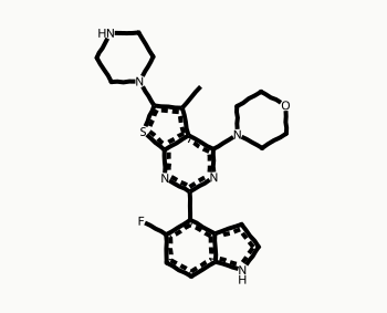 Cc1c(N2CCNCC2)sc2nc(-c3c(F)ccc4[nH]ccc34)nc(N3CCOCC3)c12